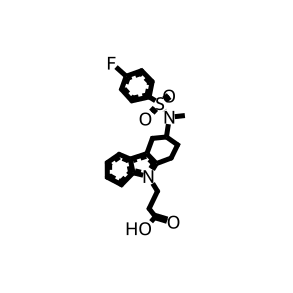 CN(C1CCc2c(c3ccccc3n2CCC(=O)O)C1)S(=O)(=O)c1ccc(F)cc1